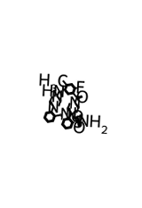 Cc1cc(F)c(C(=O)N2CCN(c3ccccc3S(N)(=O)=O)CC2)cc1NN1CCN(c2ccccc2C#N)CC1